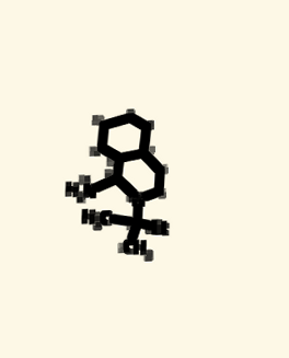 CCC(C)(C)N1CCC2CCCCC2C1N